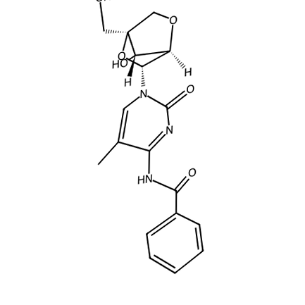 Cc1cn([C@@H]2O[C@@]3(CO)CO[C@@H]2[C@@H]3O)c(=O)nc1NC(=O)c1ccccc1